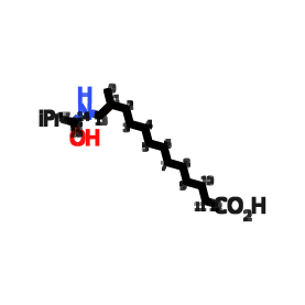 CC(CCCCCCCCCCC(=O)O)CNC(O)C(C)C